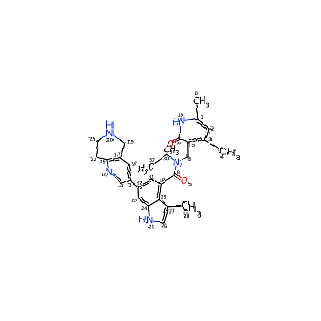 Cc1cc(C)c(CN(C(=O)c2cc(-c3cnc4c(c3)CNCC4)cc3[nH]cc(C)c23)C(C)C)c(=O)[nH]1